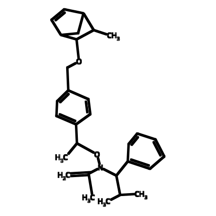 C=C(C)N(OC(C)c1ccc(COC2C3C=CC(C3)C2C)cc1)C(c1ccccc1)C(C)C